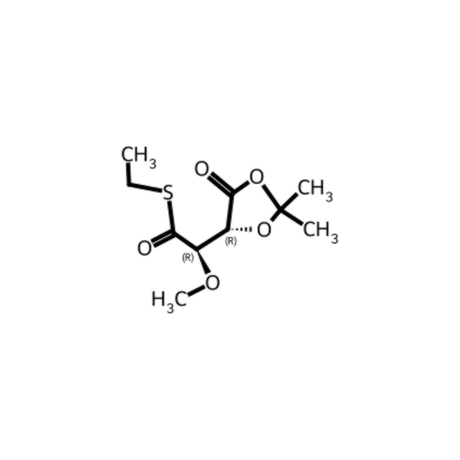 CCSC(=O)[C@H](OC)[C@H]1OC(C)(C)OC1=O